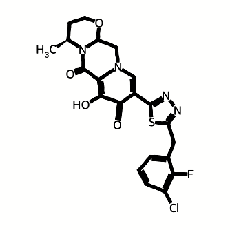 C[C@H]1CCOC2Cn3cc(-c4nnc(Cc5cccc(Cl)c5F)s4)c(=O)c(O)c3C(=O)N21